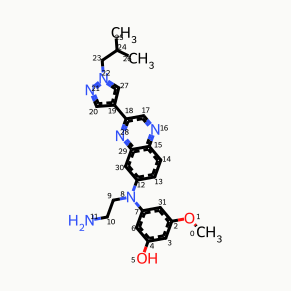 COc1cc(O)cc(N(CCN)c2ccc3ncc(-c4cnn(CC(C)C)c4)nc3c2)c1